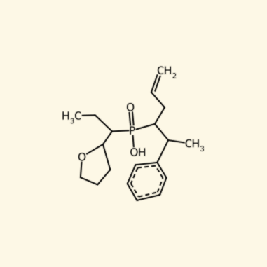 C=CCC(C(C)c1ccccc1)P(=O)(O)C(CC)C1CCCO1